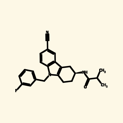 CC(C)C(=O)N[C@H]1CCc2c(c3cc(C#N)ccc3n2Cc2cccc(F)c2)C1